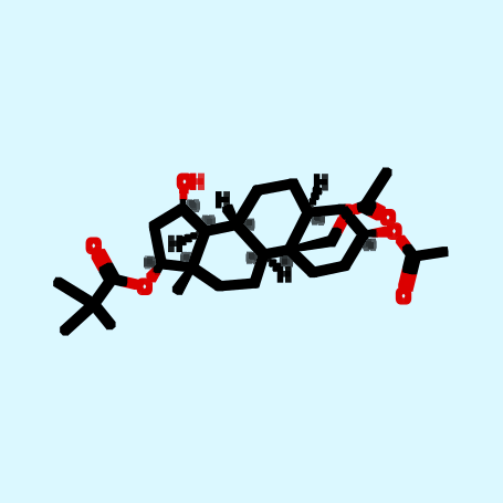 CC(=O)OC[C@]12CC[C@H](OC(C)=O)C[C@@H]1CC[C@H]1[C@@H]3[C@@H](O)C[C@H](OC(=O)C(C)(C)C)[C@@]3(C)CC[C@@H]12